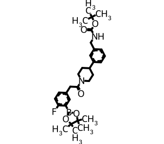 CC(C)(C)OC(=O)NCc1cccc(C2CCN(C(=O)Cc3ccc(F)c(B4OC(C)(C)C(C)(C)O4)c3)CC2)c1